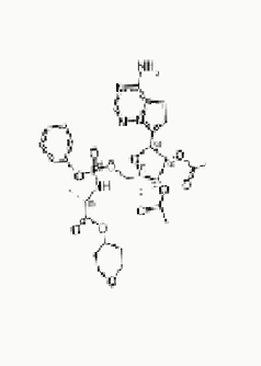 CC(=O)O[C@H]1[C@H](c2ccc3c(N)ncnn23)O[C@](C)(CO[P@](=O)(N[C@@H](C)C(=O)OC2CCOCC2)Oc2ccccc2)[C@H]1OC(C)=O